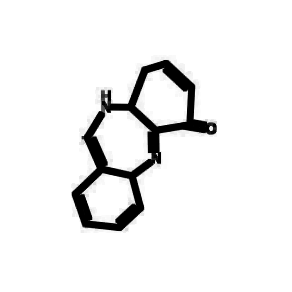 O=C1C=CCC2N[C]=C3C=CC=CC3N=C12